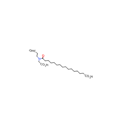 O=[C]CCN(CC(=O)O)C(=O)CCCCCCCCCCCCCCC(=O)O